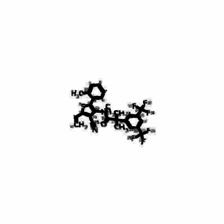 C=Cc1sc(-c2ccccc2C)c(N(C)C(=O)C(C)(C)c2cc(C(F)(F)F)cc(C(F)(F)F)c2)c1C#N